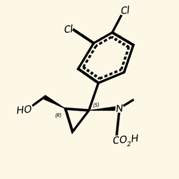 CN(C(=O)O)[C@@]1(c2ccc(Cl)c(Cl)c2)C[C@H]1CO